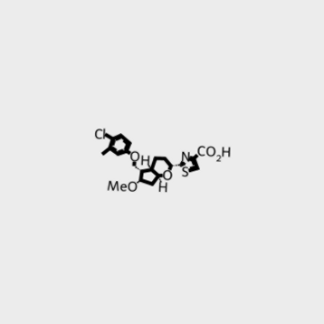 CO[C@H]1C[C@@H]2O[C@@H](c3nc(C(=O)O)cs3)CC[C@@H]2[C@H]1COc1ccc(Cl)c(C)c1